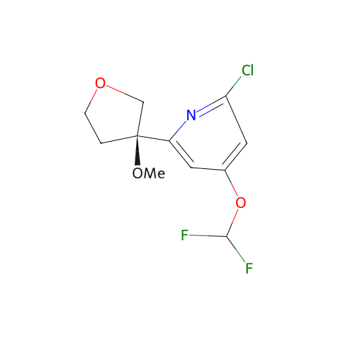 CO[C@@]1(c2cc(OC(F)F)cc(Cl)n2)CCOC1